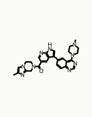 Cc1cn2c(n1)CN(C(=O)c1cnc3[nH]cc(-c4ccc5ncnc(N6CCN(C)CC6)c5c4)c3c1)CC2